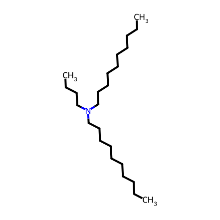 CCCCCCCCCCN(CCCC)CCCCCCCCCC